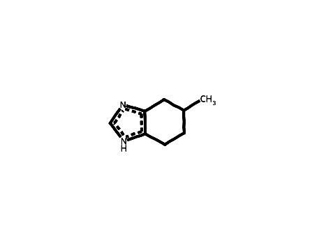 CC1CCc2[nH]cnc2C1